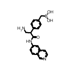 NCC(C(=O)Nc1ccc2cnccc2c1)c1ccc(CB(O)O)cc1